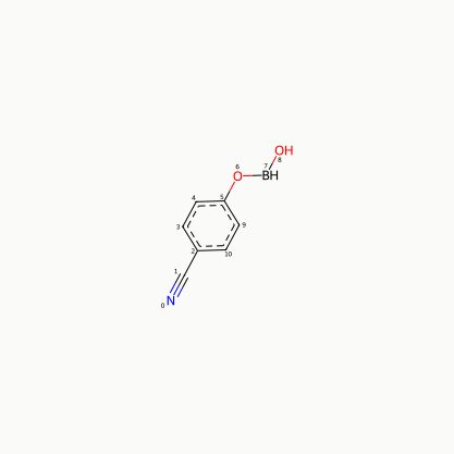 N#Cc1ccc(OBO)cc1